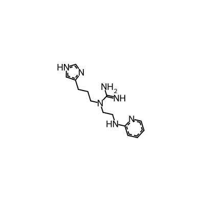 N=C(N)N(CCCc1c[nH]cn1)CCNc1ccccn1